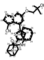 CC(C)(O)COc1cc(-c2cnc(N3CC4CC(C3)N4C(=O)Nc3ccccc3)s2)c2c(C#N)cnn2c1